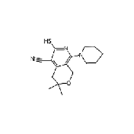 CC1(C)Cc2c(C#N)c(S)nc(N3CCCCC3)c2CO1